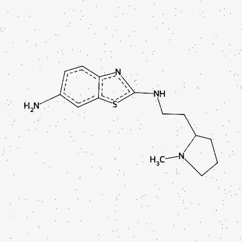 CN1CCCC1CCNc1nc2ccc(N)cc2s1